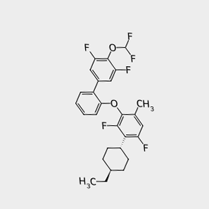 CC[C@H]1CC[C@H](c2c(F)cc(C)c(Oc3ccccc3-c3cc(F)c(OC(F)F)c(F)c3)c2F)CC1